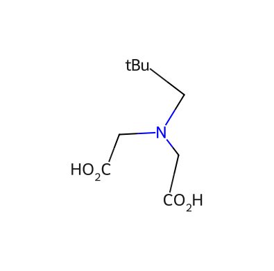 CC(C)(C)CN(CC(=O)O)CC(=O)O